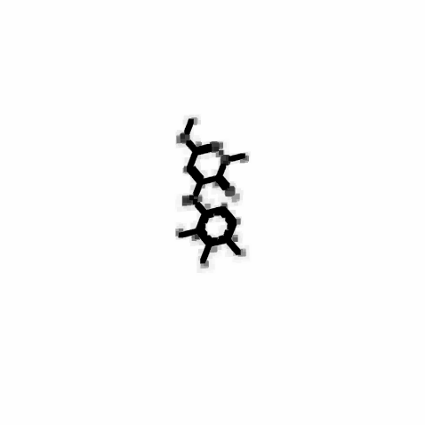 COC(=O)C=C(Nc1ccc(C)c(C)c1C)C(=O)OC